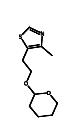 Cc1n[c]sc1CCOC1CCCCO1